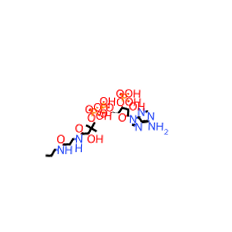 CCCNC(=O)CCNC(=O)C(O)C(C)(C)COP(=O)(O)OP(=O)(O)OC[C@H]1O[C@@H](n2cnc3c(N)ncnc32)[C@H](O)[C@@H]1OP(=O)(O)O